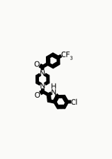 O=C(c1ccc(C(F)(F)F)cc1)N1CCN(C(=O)c2cc3ccc(Cl)cc3[nH]2)CC1